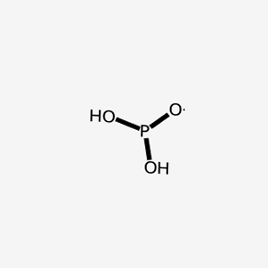 [O]P(O)O